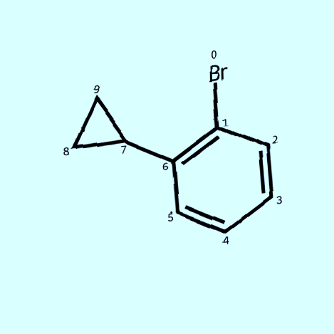 Brc1ccc[c]c1C1CC1